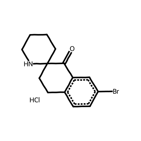 Cl.O=C1c2cc(Br)ccc2CCC12CCCCN2